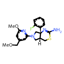 COCc1cc(OC)nc(N2C[C@H]3CSC(N)=N[C@@]3(c3ccccc3F)C2)c1